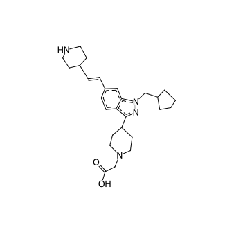 O=C(O)CN1CCC(c2nn(CC3CCCC3)c3cc(/C=C/C4CCNCC4)ccc23)CC1